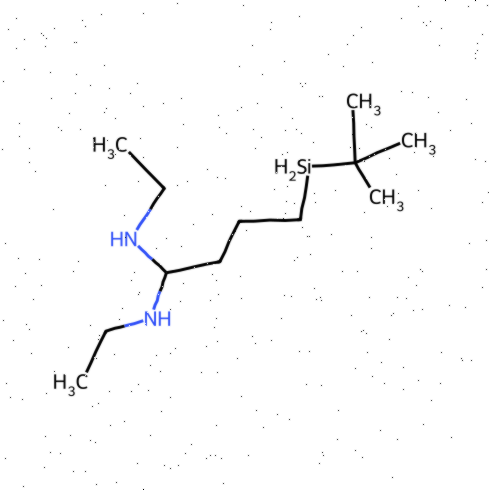 CCNC(CCC[SiH2]C(C)(C)C)NCC